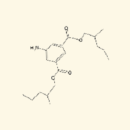 CCCC(C)COC(=O)c1cc(N)cc(C(=O)OCC(C)CCC)c1